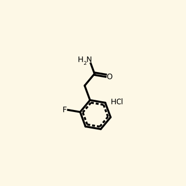 Cl.NC(=O)Cc1ccccc1F